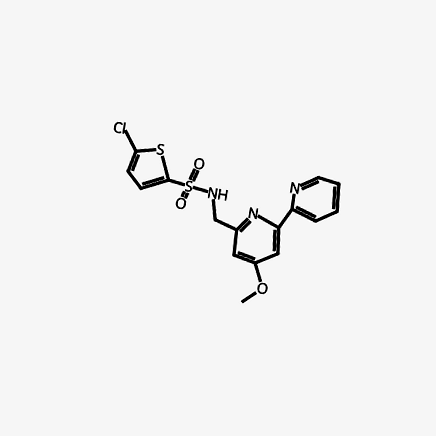 COc1cc(CNS(=O)(=O)c2ccc(Cl)s2)nc(-c2ccccn2)c1